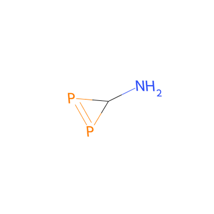 NC1P=P1